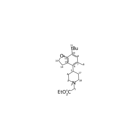 CCOC(=O)CN1CCC(c2c(C)cc(C(C)(C)C)c3c2CCO3)CC1